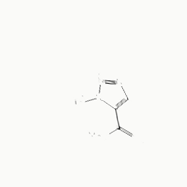 COC(=O)c1cnnn1C(C)C